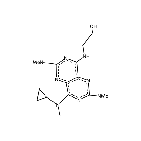 CNc1nc(N(C)C2CC2)c2nc(NC)nc(NCCO)c2n1